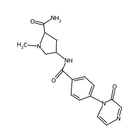 CN1CC(NC(=O)c2ccc(-n3ccncc3=O)cc2)[CH]C1C(N)=O